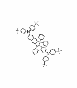 CC(C)(C)c1ccc(N(c2ccc(C(C)(C)C)cc2)c2ccc3cc4c(cc3c2)C(c2ccccc2)(c2ccccc2)c2c-4c3ccccc3c3cc(N(c4ccc(C(C)(C)C)cc4)c4ccc(C(C)(C)C)cc4)ccc23)cc1